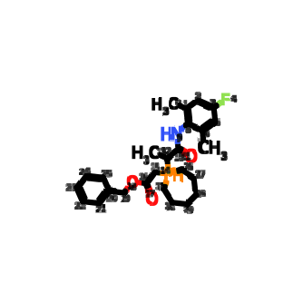 Cc1cc(F)cc(C)c1NC(=O)C(C)[PH]1(CC(=O)OCc2ccccc2)CCCCCC1